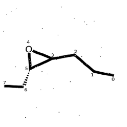 CCCC1O[C@H]1CC